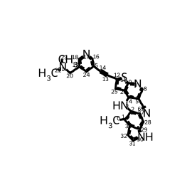 Cc1c(Nc2c(C#N)cnc3sc(C#Cc4cncc(CN(C)C)c4)cc23)ccc2[nH]ccc12